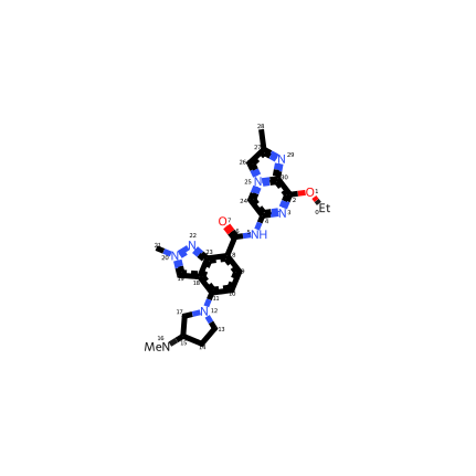 CCOc1nc(NC(=O)c2ccc(N3CCC(NC)C3)c3cn(C)nc23)cn2cc(C)nc12